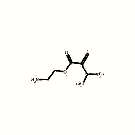 C=C(C(=O)OCCN)C(CCCC)CCCC